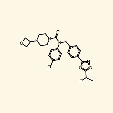 O=C(N1CCN(C2COC2)CC1)N(Cc1ccc(-c2nnc(C(F)F)o2)cc1)c1ccc(Cl)cc1